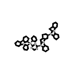 c1ccc([Si](c2ccccc2)(c2ncnc(-n3c4ccccc4n4c5cc(-n6c7ccccc7n7c8ccccc8cc67)ccc5cc34)n2)c2cccc3c2sc2ccccc23)cc1